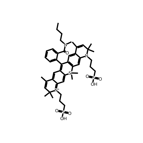 CCCCN(C)C(=O)c1ccccc1C1=c2cc3c(cc2[Si](C)(C)c2cc4c(cc21)C(C)=CC(C)(C)N4CCCS(=O)(=O)O)=[N+](CCCS(=O)(=O)O)C(C)(C)C=C3C